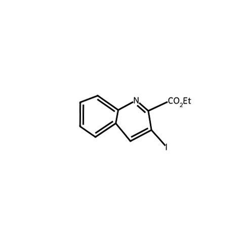 CCOC(=O)c1nc2ccccc2cc1I